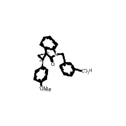 COc1ccc([C@H]2C[C@@]23C(=O)N(Cc2cccc(C(=O)O)c2)c2ccccc23)cc1